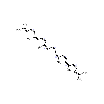 CC(C)=C\C=C/C(C)=C\C=C/C(C)=C\C=C/C=C(C)\C=C/C=C(C)\C=C/C=C(/C)C=O